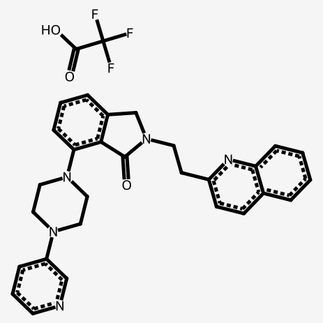 O=C(O)C(F)(F)F.O=C1c2c(cccc2N2CCN(c3cccnc3)CC2)CN1CCc1ccc2ccccc2n1